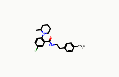 CC1CCCCN1c1ccc(Br)cc1C(=O)NCCc1ccc(C(=O)O)cc1